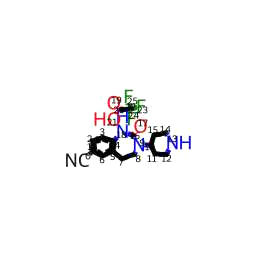 N#Cc1ccc2c(c1)CCN(C1CCNCC1)C(=O)N2.O=C(O)C(F)(F)F